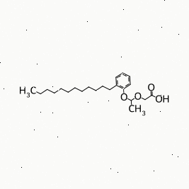 CCCCCCCCCCCCc1ccccc1OC(C)OCC(=O)O